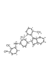 Cc1cccc(C)c1-n1c(-c2ccc(Nc3cccc(Cl)c3Cl)cc2)nc2ccccc21